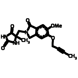 CC#CCOc1cc2c(cc1OC)C(=O)N(CC1(C)NC(=O)NC1=O)C2